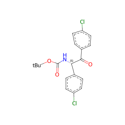 CC(C)(C)OC(=O)N[C@H](C(=O)c1ccc(Cl)cc1)c1ccc(Cl)cc1